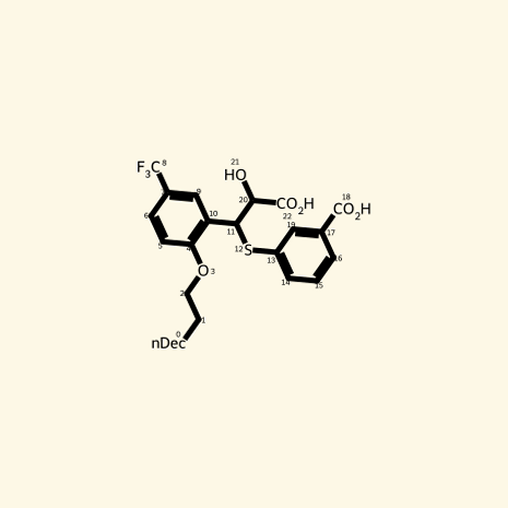 CCCCCCCCCCCCOc1ccc(C(F)(F)F)cc1C(Sc1cccc(C(=O)O)c1)C(O)C(=O)O